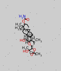 CC(=O)O[C@@H]([C@H]1C[C@@H](C)[C@H]2[C@H](O1)[C@H](O)[C@@]1(C)[C@@H]3CC[C@H]4C(C)(C)[C@@H](OC(N)=O)CC[C@@]45C[C@@]35CC[C@]21C)C(C)(C)O